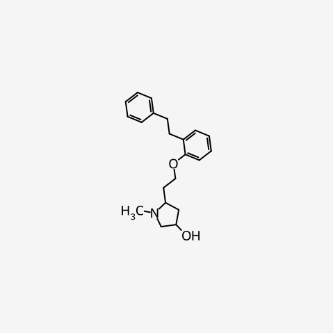 CN1CC(O)CC1CCOc1ccccc1CCc1ccccc1